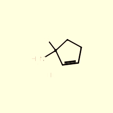 Cl.NC1(O)C=CCC1